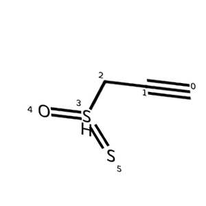 C#CC[SH](=O)=S